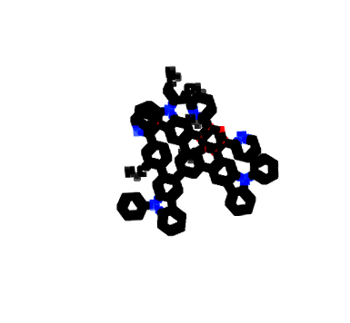 C=C/C(=C\C)n1c2ccccc2c2cc(-c3cc(-c4cc5c6ccccc6n(-c6ccccc6)c5cc4-c4ccc(-c5ccccn5)cc4C)cc(-c4cc5c6ccccc6n(-c6ccccc6)c5cc4-c4ccc(-c5ccccn5)cc4C)c3)c(-c3ccc(-c4ccccn4)cc3C)cc21